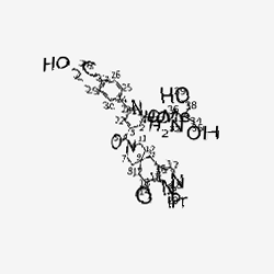 COc1cc(C(=O)N2CCC3(CC2)CC(=O)c2c(cnn2C(C)C)C3)cc(-c2ccc(C(=O)O)cc2)n1.NC(CO)(CO)CO